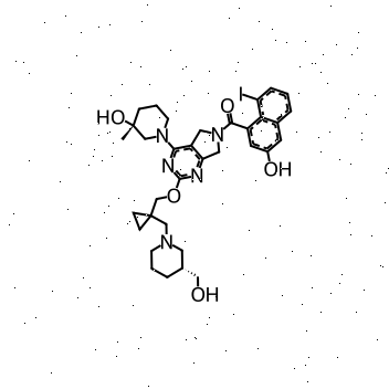 C[C@@]1(O)CCCN(c2nc(OCC3(CN4CCC[C@@H](CO)C4)CC3)nc3c2CN(C(=O)c2cc(O)cc4cccc(I)c24)C3)C1